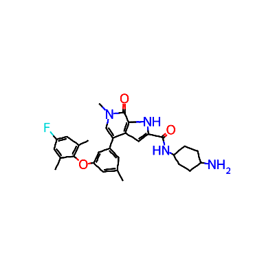 Cc1cc(Oc2c(C)cc(F)cc2C)cc(-c2cn(C)c(=O)c3[nH]c(C(=O)NC4CCC(N)CC4)cc23)c1